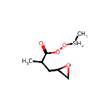 C[SiH2]OOC(=O)C(C)CC1CO1